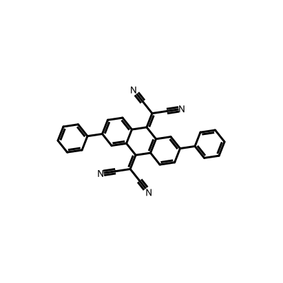 N#CC(C#N)=c1c2ccc(-c3ccccc3)cc2c(=C(C#N)C#N)c2ccc(-c3ccccc3)cc12